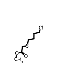 COC(=O)CSCCCCCl